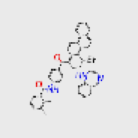 C1=CNc2ccccc2C=N1.CCC1CCC(C(=O)c2ccc(NC(=O)c3cccc(C)c3C)cc2)=c2ccc3c(c21)CC=c1ccccc1=3